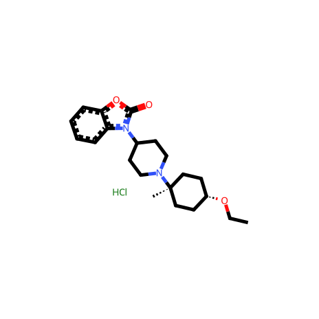 CCO[C@H]1CC[C@](C)(N2CCC(n3c(=O)oc4ccccc43)CC2)CC1.Cl